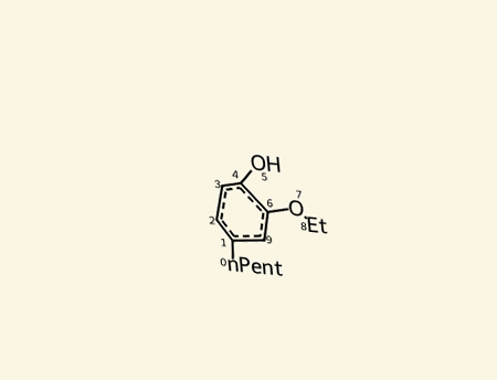 CCCCCc1ccc(O)c(OCC)c1